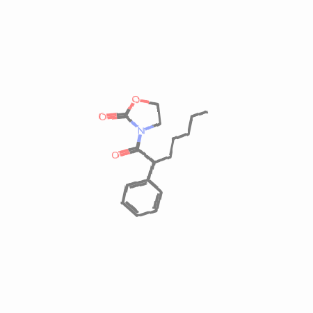 CCCCCC(C(=O)N1CCOC1=O)c1ccccc1